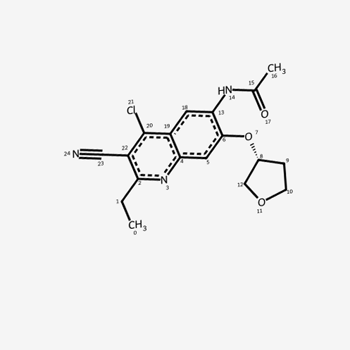 CCc1nc2cc(O[C@@H]3CCOC3)c(NC(C)=O)cc2c(Cl)c1C#N